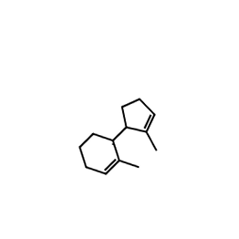 CC1=CCCC[C]1C1CCC=C1C